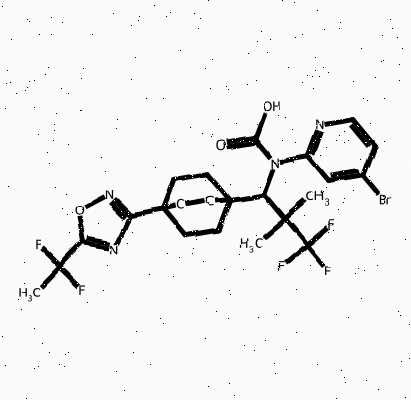 CC(F)(F)c1nc(C23CCC(C(N(C(=O)O)c4cc(Br)ccn4)C(C)(C)C(F)(F)F)(CC2)CC3)no1